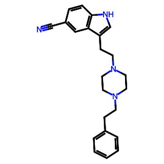 N#Cc1ccc2[nH]cc(CCN3CCN(CCc4ccccc4)CC3)c2c1